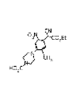 CCOC(=O)C(C#N)c1cc(C)c(N2CCN(C(=O)O)CC2)cc1[N+](=O)[O-]